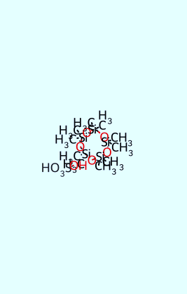 C[Si]1(C)O[Si](C)(C)O[Si](C)(C)O[Si](C)(C)O[Si](C)(C)O1.O=S(=O)(O)O